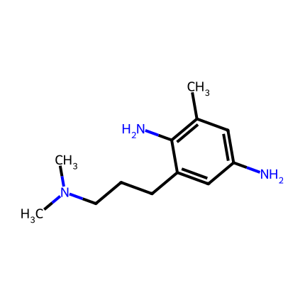 Cc1cc(N)cc(CCCN(C)C)c1N